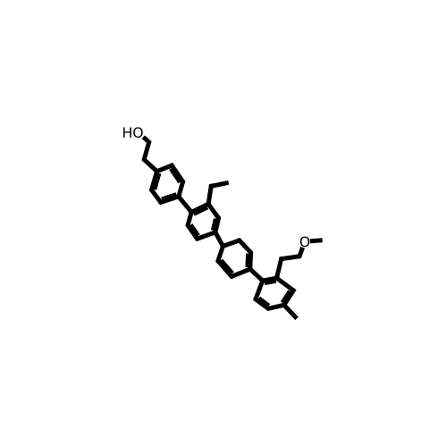 CCc1cc(C2C=CC(c3ccc(C)cc3CCOC)=CC2)ccc1-c1ccc(CCO)cc1